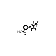 Cc1c(F)c(C(F)(F)F)nn1-c1cccc(C(=O)O)c1